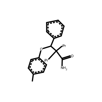 Cc1ccc(OC(c2ccccc2)C(C(N)=O)(C(C)C)C(C)C)cc1